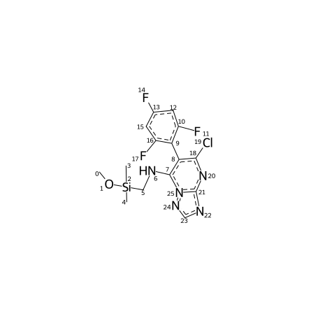 CO[Si](C)(C)CNc1c(-c2c(F)cc(F)cc2F)c(Cl)nc2ncnn12